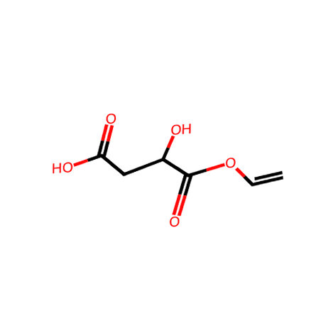 C=COC(=O)C(O)CC(=O)O